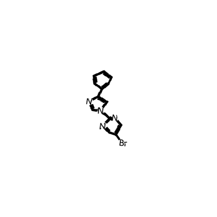 Brc1cnc(-n2cnc(-c3ccccc3)c2)nc1